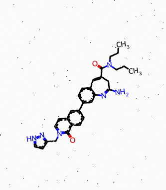 CCCN(CCC)C(=O)C1=Cc2ccc(-c3ccc4c(=O)n(Cc5cc[nH]n5)ccc4c3)cc2N=C(N)C1